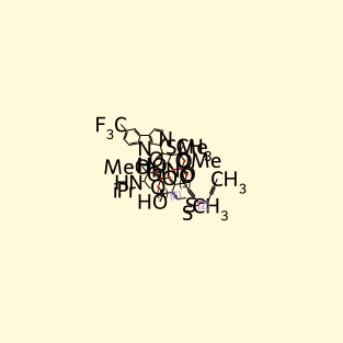 CC#C/C=C\C#C[C@H](OC1OC(C)C(SC)(C(=O)c2nccc3c2[nH]c2ccc(C(F)(F)F)cc23)C(O)C1OC1CC(OC)C(NC(C)C)CO1)C1=C(NC(=O)OC)C(=O)C[C@H](O)/C1=C/CS(C)=S